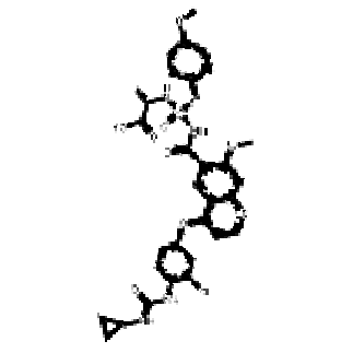 COc1ccc(OP(=O)(NC(=O)c2cc3c(Oc4ccc(NC(=O)NC5CC5)c(Cl)c4)ccnc3cc2OC)NC(C)C(=O)O)cc1